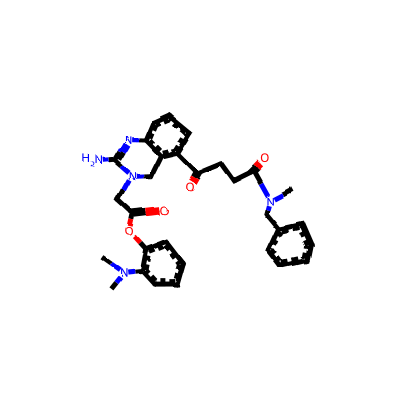 CN(Cc1ccccc1)C(=O)CCC(=O)c1cccc2c1CN(CC(=O)Oc1ccccc1N(C)C)C(N)=N2